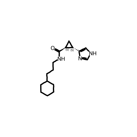 O=C(NCCCC1CCCCC1)[C@H]1C[C@@H]1c1c[nH]cn1